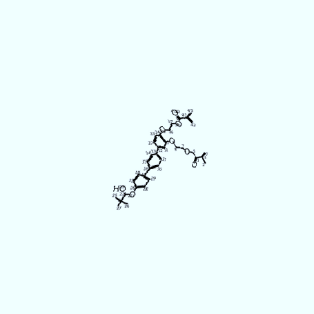 C=C(C)C(=O)COCCOc1cc(-c2ccc(-c3ccc(OC(O)C(C)(C)C)cc3)cc2)ccc1OCCOC(=O)C(=C)C